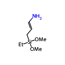 CC[Si](CC=CN)(OC)OC